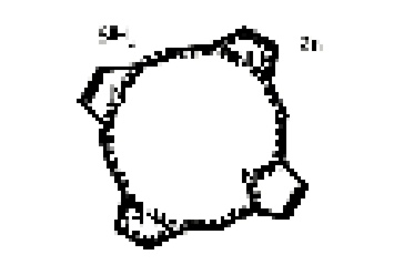 C1=Cc2cc3ccc(cc4nc(cc5ccc(cc1n2)[nH]5)C=C4)[nH]3.[SiH4].[Zn]